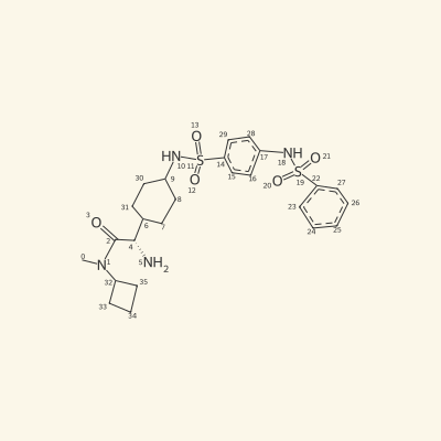 CN(C(=O)[C@@H](N)C1CCC(NS(=O)(=O)c2ccc(NS(=O)(=O)c3ccccc3)cc2)CC1)C1CCC1